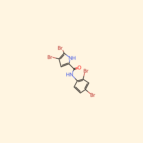 O=C(Nc1ccc(Br)cc1Br)c1cc(Br)c(Br)[nH]1